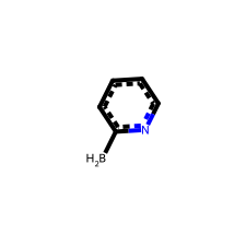 Bc1ccccn1